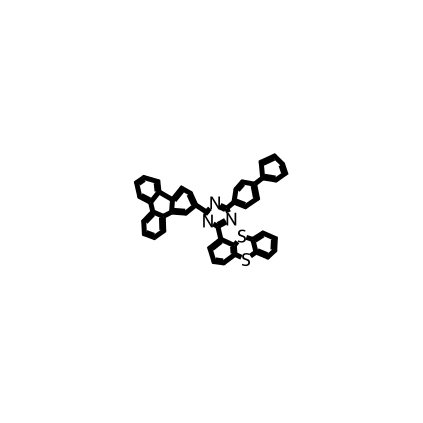 c1ccc(-c2ccc(-c3nc(-c4ccc5c6ccccc6c6ccccc6c5c4)nc(-c4cccc5c4Sc4ccccc4S5)n3)cc2)cc1